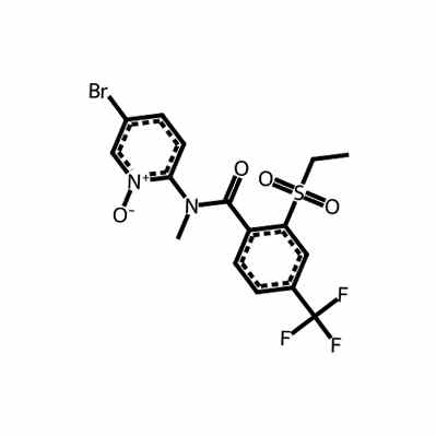 CCS(=O)(=O)c1cc(C(F)(F)F)ccc1C(=O)N(C)c1ccc(Br)c[n+]1[O-]